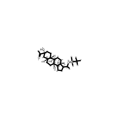 CC(=O)[C@@]1(O)CC[C@H]2[C@H](CC[C@@H]3[C@@H]2CC[C@]2(C)C(C(C)O[Si](C)(C)C(C)(C)C)CC[C@@H]32)C1